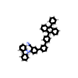 N#Cc1cc(-c2cccc(-c3ccc(-c4c5ccccc5c(-c5ccccc5)c5ccccc45)cc3)c2)ccc1-n1c2ccccc2c2ccccc21